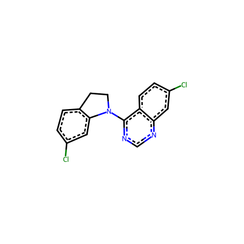 Clc1ccc2c(c1)N(c1ncnc3cc(Cl)ccc13)CC2